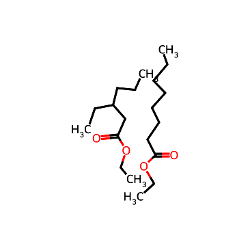 CCCC(CC)CC(=O)OCC.CCCCCCCC(=O)OCC